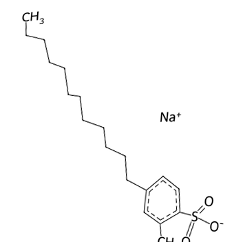 CCCCCCCCCCCCc1ccc(S(=O)(=O)[O-])c(C)c1.[Na+]